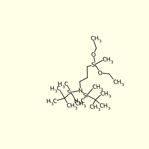 CCO[Si](C)(CCCN([Si](C)(C)C(C)(C)C)[Si](C)(C)C(C)(C)C)OCC